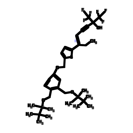 CC/C(=C\C#CC(O)(C(F)(F)F)C(F)(F)F)c1ccc(COc2ccc(CO[Si](C)(C)C(C)(C)C)c(CO[Si](C)(C)C(C)(C)C)c2)s1